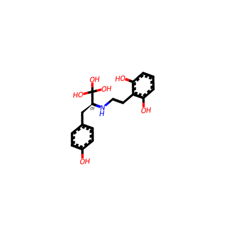 Oc1ccc(C[C@H](NCCc2c(O)cccc2O)C(O)(O)O)cc1